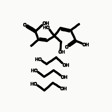 CC(=CC(O)(C=C(C)C(=O)O)CO)C(=O)O.OCCO.OCCO.OCCO